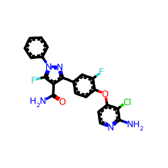 NC(=O)c1c(-c2ccc(Oc3ccnc(N)c3Cl)c(F)c2)nn(-c2ccccc2)c1F